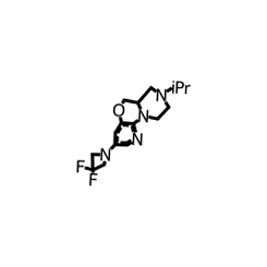 CC(C)N1CCN2c3ncc(N4CC(F)(F)C4)cc3OCC2C1